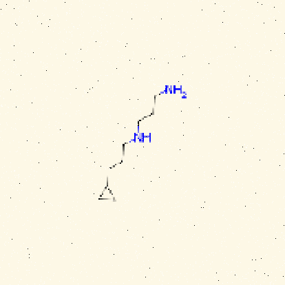 NCCCNCCCC1CC1